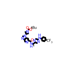 C[C@@H](NC(=O)c1cc2c(cn1)ncn2C1CN(C(=O)OC(C)(C)C)C1)c1cnc(Nc2ccc(C(F)(F)F)cc2)cn1